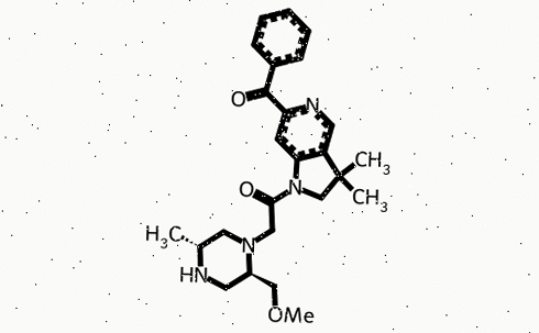 COC[C@H]1CN[C@H](C)CN1CC(=O)N1CC(C)(C)c2cnc(C(=O)c3ccccc3)cc21